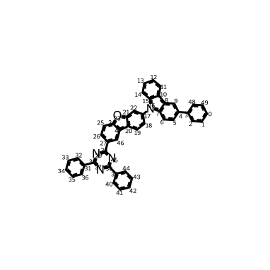 c1ccc(-c2ccc3c(c2)c2ccccc2n3-c2ccc3c(c2)oc2ccc(-c4nc(-c5ccccc5)nc(-c5ccccc5)n4)cc23)cc1